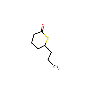 CCCC1CCCC(=O)S1